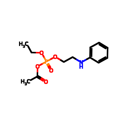 CCOP(=O)(OCCNc1ccccc1)OC(C)=O